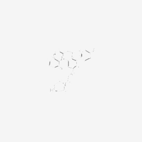 O=C1CCc2c(-c3ccc(F)cc3F)cc(OCCN3CCNCC3)cc2N1c1c(Cl)cccc1Cl